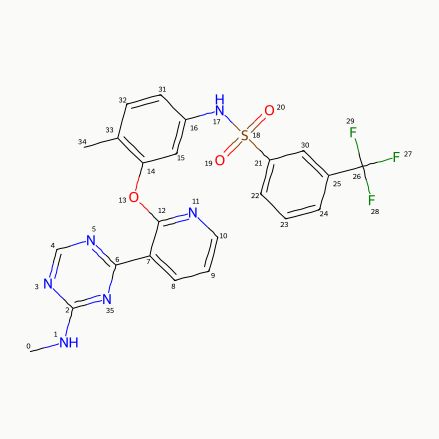 CNc1ncnc(-c2cccnc2Oc2cc(NS(=O)(=O)c3cccc(C(F)(F)F)c3)ccc2C)n1